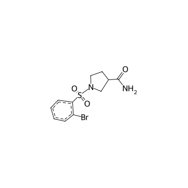 NC(=O)C1CCN(S(=O)(=O)c2ccccc2Br)C1